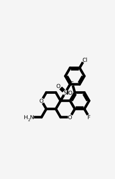 NCC1OCCC2(S(=O)(=O)c3ccc(Cl)cc3)c3c(F)ccc(F)c3OCC12